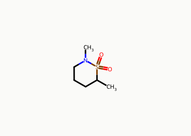 CC1CCCN(C)S1(=O)=O